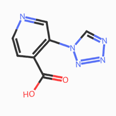 O=C(O)c1ccncc1-n1cnnn1